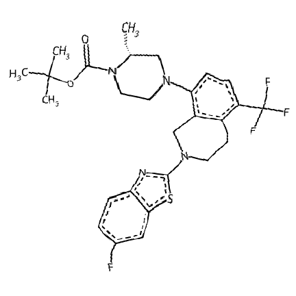 C[C@@H]1CN(c2ccc(C(F)(F)F)c3c2CN(c2nc4ccc(F)cc4s2)CC3)CCN1C(=O)OC(C)(C)C